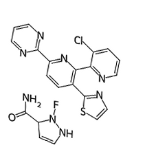 Clc1cccnc1-c1nc(-c2ncccn2)ccc1-c1nccs1.NC(=O)C1C=CNN1F